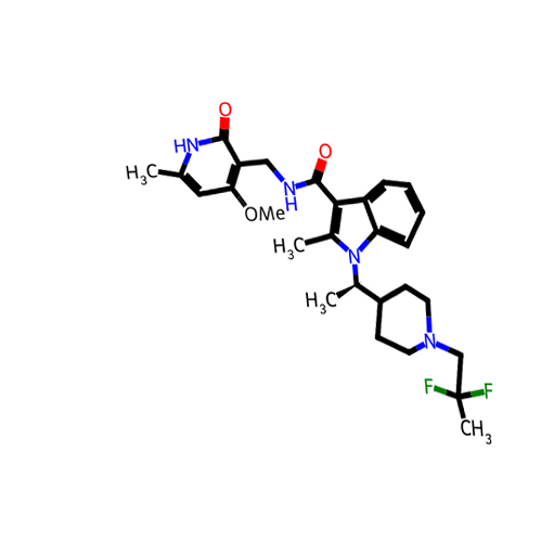 COc1cc(C)[nH]c(=O)c1CNC(=O)c1c(C)n([C@H](C)C2CCN(CC(C)(F)F)CC2)c2ccccc12